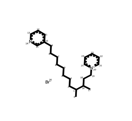 CC(CCCCCCCCc1cccnc1)C(C)CC[n+]1ccccc1.[Br-]